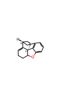 C1=C2[C@@H]3CCC[C@@]24c2c(cccc2OC4CC1)C3